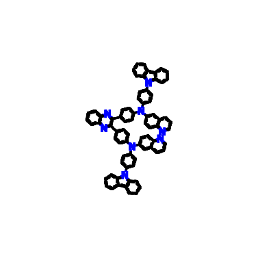 c1cnc2ccc(N(c3ccc(-c4nc5ccccc5nc4-c4ccc(N(c5ccc(-n6c7ccccc7c7ccccc76)cc5)c5ccc6ncccc6c5)cc4)cc3)c3ccc(-n4c5ccccc5c5ccccc54)cc3)cc2c1